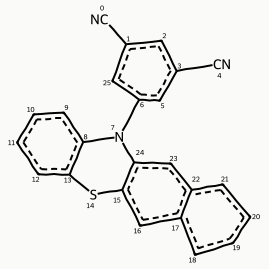 N#Cc1cc(C#N)cc(N2c3ccccc3Sc3cc4ccccc4cc32)c1